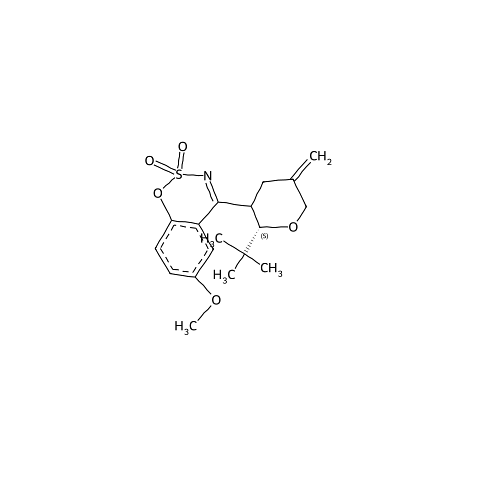 C=C1CO[C@H](C(C)(C)C)C(C2=NS(=O)(=O)Oc3ccc(OC)cc32)C1